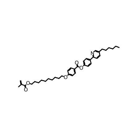 C=C(C)C(=O)OCCCCCCCCCCOc1ccc(C(=O)Oc2ccc(-c3ccc(CCCCCC)cn3)cc2)cc1